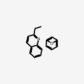 CCc1ccc2ccccc2n1.c1cc2cc(c1)O2